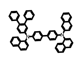 c1ccc(-c2ccc(N(c3ccc(-c4ccc(N(c5ccc6ccccc6c5)c5cccc6ccccc56)cc4)cc3)c3cccc4ccccc34)cc2-c2ccccc2)cc1